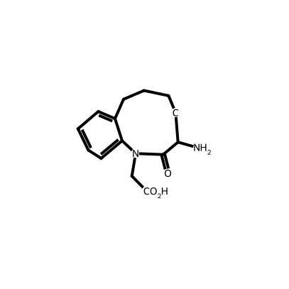 NC1CCCCc2ccccc2N(CC(=O)O)C1=O